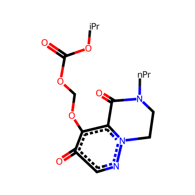 CCCN1CCn2ncc(=O)c(OCOC(=O)OC(C)C)c2C1=O